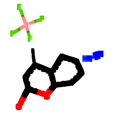 Cc1cc(=O)oc2ccccc12.F[B-](F)(F)F.N#[NH+]